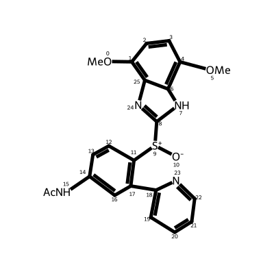 COc1ccc(OC)c2[nH]c([S+]([O-])c3ccc(NC(C)=O)cc3-c3ccccn3)nc12